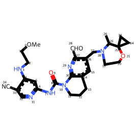 COCCNc1cc(NC(=O)N2CCCc3cc(CN4CCOC5(CC5)C4C)c(C=O)nc32)ncc1C#N